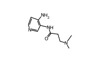 CN(C)CCC(=O)Nc1cnccc1N